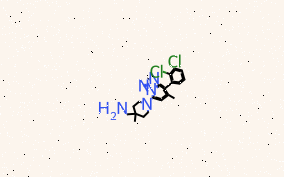 Cc1cc(N2CCC(C)(CN)CC2)n2ncnc2c1-c1cccc(Cl)c1Cl